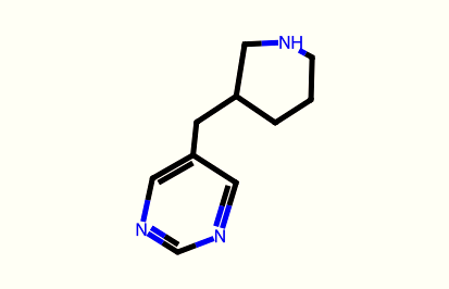 c1ncc(CC2CCCNC2)cn1